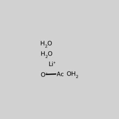 CC(=O)[O-].O.O.O.[Li+]